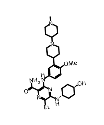 CCc1nc(C(N)=O)c(Nc2ccc(OC)c(C3CCN(C4CCN(C)CC4)CC3)c2)nc1N[C@H]1CC[C@H](O)CC1